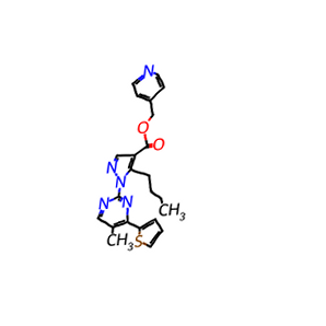 CCCCc1c(C(=O)OCc2ccncc2)cnn1-c1ncc(C)c(-c2cccs2)n1